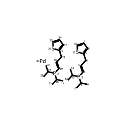 CC(C)P(C=CCc1cccs1)C(C)C.CC(C)P(C=CCc1cccs1)C(C)C.[Pd]